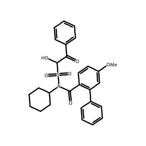 COc1ccc(C(=O)N(C2CCCCC2)S(=O)(=O)C(O)C(=O)c2ccccc2)c(-c2ccccc2)c1